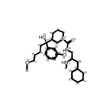 CNC(CNC(=O)N1CCCC([C@@](O)(CCCCOC)c2cccc(Cl)c2)C1)CC1CCCCC1